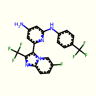 Nc1cc(Nc2ccc(C(F)(F)F)cc2)nc(-c2c(C(F)(F)F)nc3ccc(F)cn23)c1